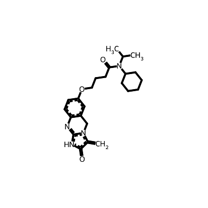 C=c1c(=O)[nH]c2n1Cc1cc(OCCCC(=O)N(C(C)C)C3CCCCC3)ccc1N=2